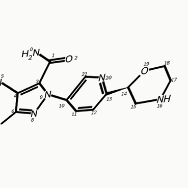 NC(=O)c1c(Cl)c(C(F)(F)F)nn1-c1ccc([C@@H]2CNCCO2)nc1